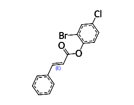 O=C(/C=C/c1ccccc1)Oc1ccc(Cl)cc1Br